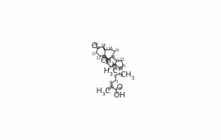 CC(CCC[C@H](C)C(=O)O)[C@H]1CCC2C3CCC4=CC(=O)CC[C@]4(C)C3CC[C@@]21C